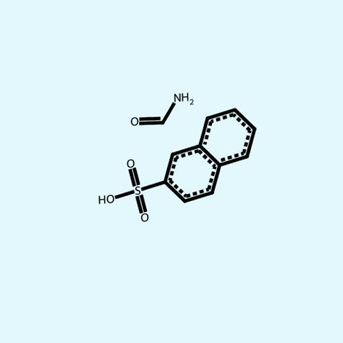 NC=O.O=S(=O)(O)c1ccc2ccccc2c1